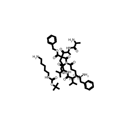 CC(C)(C)OC(=O)NCCCCCN.CC(N)C(=O)NC(C)C(=O)C(CCCN)(C(=O)OCc1ccccc1)C(=O)N(C(=O)CC[C@H](O)[C@@H](N)Cc1ccccc1)C(=O)C(NC(=O)C(N)C(C)C)C(C)C